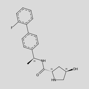 C[C@H](NC(=O)[C@@H]1C[C@@H](O)CN1)c1ccc(-c2ccccc2F)cc1